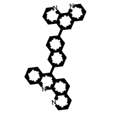 c1cnc2c(c1)cc(-c1ccc3cc(-c4c5ccccc5nc5c4ccc4cccnc45)ccc3c1)c1cccnc12